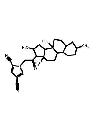 CC1CCC2C(CCC3(C)C2CCC2(C)C(C(=O)Cn4nc(C#N)cc4C#N)C(C)CC32)C1